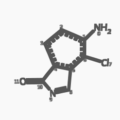 Nc1ccc2c(c1Cl)C=NC2=O